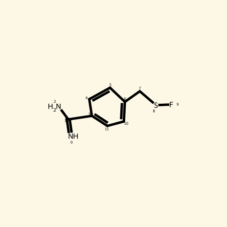 N=C(N)c1ccc(CSF)cc1